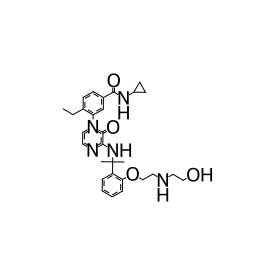 CCc1ccc(C(=O)NC2CC2)cc1-n1ccnc(NC(C)(C)c2ccccc2OCCNCCO)c1=O